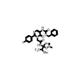 CC(C)C(NC(=O)Cn1c(-c2ccc(F)cc2)ncc(NC(=O)OCc2ccccc2)c1=O)(O[SiH](C)C)C(C(C)(C)C)C(F)(F)F